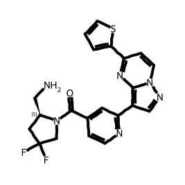 NC[C@@H]1CC(F)(F)CN1C(=O)c1ccnc(-c2cnn3ccc(-c4cccs4)nc23)c1